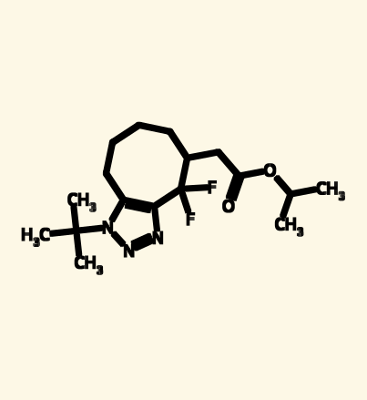 CC(C)OC(=O)CC1CCCCc2c(nnn2C(C)(C)C)C1(F)F